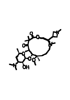 CO[C@]1(C)CCCN(C)C(C2CN(C)C2)COC(=O)C(C)(C)C(=O)[C@H](C)[C@H]1O[C@@H]1O[C@H](C)C[C@H](N(C)C)[C@H]1O